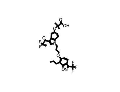 CCCc1c(OCCCn2cc(C(=O)C(F)(F)F)c3cc(OC(C)(C)C(=O)O)ccc32)ccc2c(C(F)(F)F)noc12